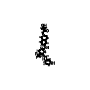 CC(C)(O)C(=O)CN1CCc2cc(Nc3ncc(C(F)(F)F)c(NC[C@@H]4CCCNC4)n3)ccc2C1